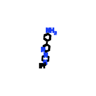 CC(C)N1CCN(c2ccc(-c3ccc(N)cc3)cn2)CC1